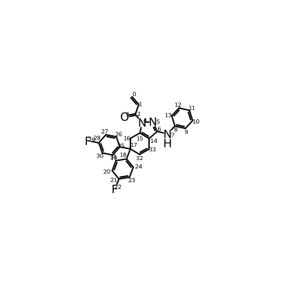 C=CC(=O)n1nc(Nc2ccccc2)c2c1CC(c1ccc(F)cc1)(c1ccc(F)cc1)C=C2